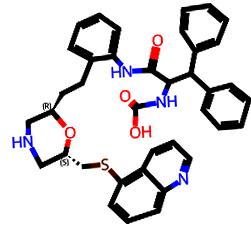 O=C(O)NC(C(=O)Nc1ccccc1CC[C@@H]1CNC[C@@H](CSc2cccc3ncccc23)O1)C(c1ccccc1)c1ccccc1